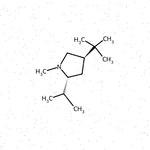 CC(C)[C@H]1C[C@H](C(C)(C)C)CN1C